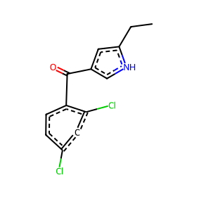 CCc1cc(C(=O)c2ccc(Cl)cc2Cl)c[nH]1